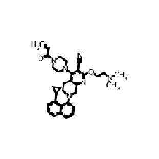 C=CC(=O)N1CCN(c2c(C#N)c(OCCN(C)C)nc3c2CCN(c2cccc4cccc(C5CC5)c24)C3)CC1